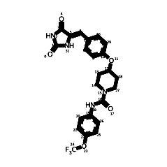 O=C1NC(=O)/C(=C/c2ccc(OC3CCN(C(=O)Nc4ccc(OC(F)(F)F)cc4)CC3)cc2)N1